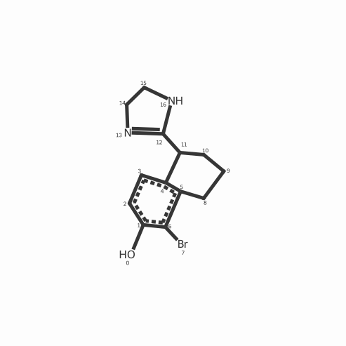 Oc1ccc2c(c1Br)CCCC2C1=NCCN1